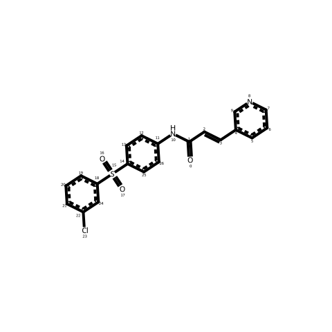 O=C(C=Cc1cccnc1)Nc1ccc(S(=O)(=O)c2cccc(Cl)c2)cc1